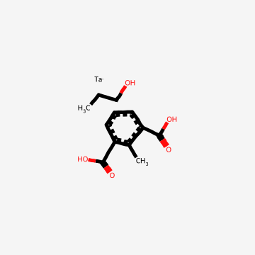 CCCO.Cc1c(C(=O)O)cccc1C(=O)O.[Ta]